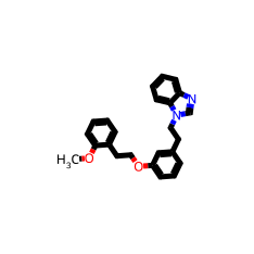 COc1ccccc1CCOc1cccc(CCn2cnc3ccccc32)c1